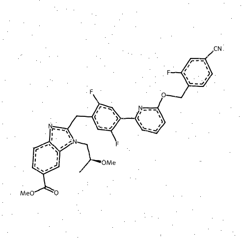 COC(=O)c1ccc2nc(Cc3cc(F)c(-c4cccc(OCc5ccc(C#N)cc5F)n4)cc3F)n(C[C@H](C)OC)c2c1